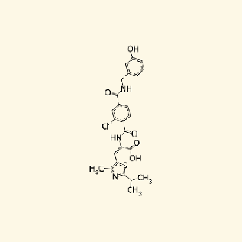 Cc1nc(C(C)C)sc1C=C(NC(=O)c1ccc(C(=O)NCc2cccc(O)c2)cc1Cl)C(=O)O